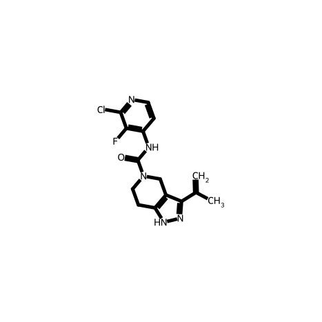 C=C(C)c1n[nH]c2c1CN(C(=O)Nc1ccnc(Cl)c1F)CC2